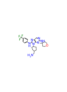 CC1(Nc2ncc3nc(Nc4ccc(C(F)(F)F)cc4)n(C4CCC(CN)CC4)c3n2)CCOCC1